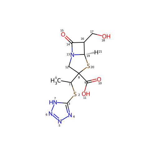 CC(Sc1nnn[nH]1)C1(C(=O)O)CN2C(=O)C(CO)[C@H]2S1